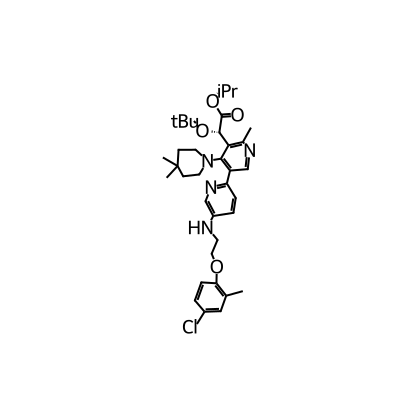 Cc1cc(Cl)ccc1OCCNc1ccc(-c2cnc(C)c([C@H](OC(C)(C)C)C(=O)OC(C)C)c2N2CCC(C)(C)CC2)nc1